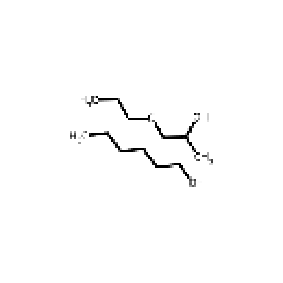 CCCCCCO.CCCOCC(C)O